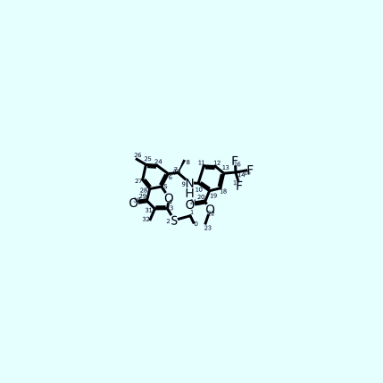 CCSc1oc2c([C@@H](C)Nc3ccc(C(F)(F)F)cc3C(=O)OC)cc(C)cc2c(=O)c1C